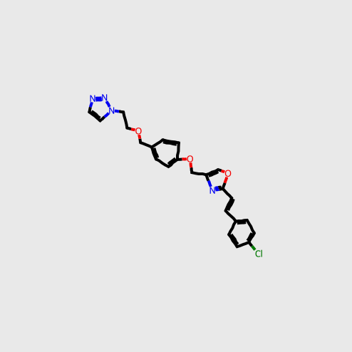 Clc1ccc(/C=C/c2nc(COc3ccc(COCCn4ccnn4)cc3)co2)cc1